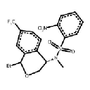 CCC1OC[C@@H](N(C)S(=O)(=O)c2ccccc2[N+](=O)[O-])c2ccc(C(F)(F)F)cc21